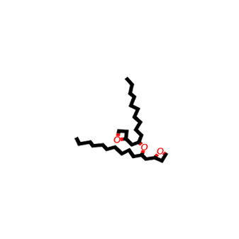 CCCCCCCCCCC(CC1CCO1)OC(CCCCCCCCCC)CC1CCO1